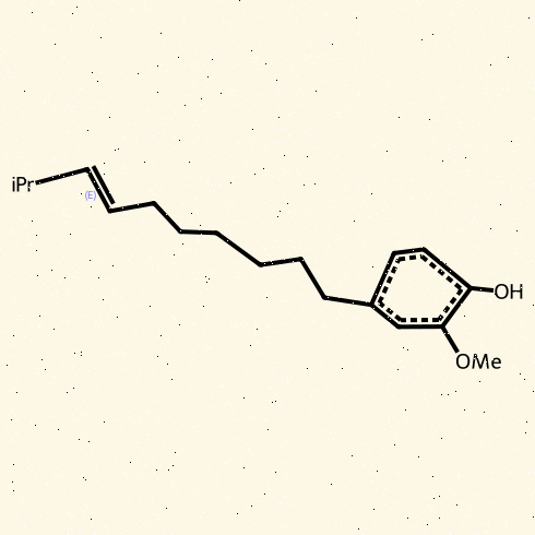 COc1cc(CCCCCC/C=C/C(C)C)ccc1O